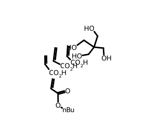 C=CC(=O)O.C=CC(=O)O.C=CC(=O)O.C=CC(=O)OCCCC.OCC(CO)(CO)CO